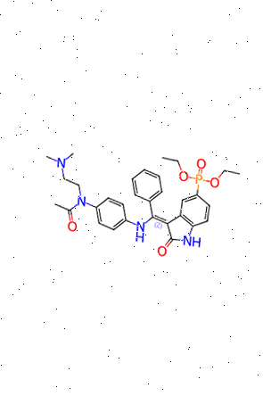 CCOP(=O)(OCC)c1ccc2c(c1)/C(=C(/Nc1ccc(N(CCN(C)C)C(C)=O)cc1)c1ccccc1)C(=O)N2